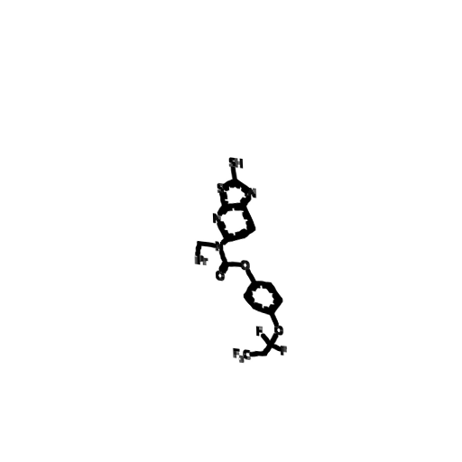 CC(C)CN(C(=O)Oc1ccc(OC(F)(F)CC(F)(F)F)cc1)c1ccc2nc(S)sc2n1